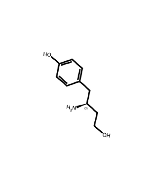 N[C@H](CCO)Cc1ccc(O)cc1